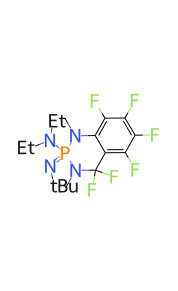 CCN(CC)P1(=NC(C)(C)C)N(C)c2c(F)c(F)c(F)c(F)c2C(F)(F)N1C